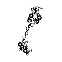 CN1CCN([C@@H]2CCCN(c3cnc(C(N)=O)c(Nc4ccc(C5(C)CCN(C(=O)CCOCCOCCOCCNc6cccc7c6C(=O)N(C6CCC(=O)NC6=O)C7=O)CC5)cc4)n3)C2)C1=O